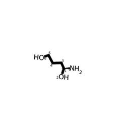 N[C@@H](O)CCCO